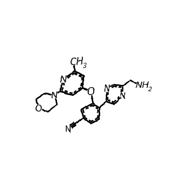 Cc1cc(Oc2cc(C#N)ccc2-c2cnc(CN)cn2)cc(N2CCOCC2)n1